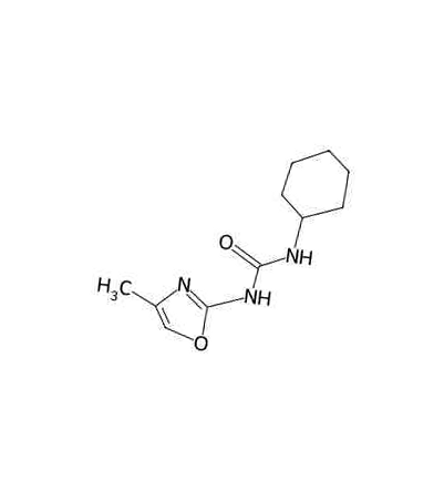 Cc1coc(NC(=O)NC2CCCCC2)n1